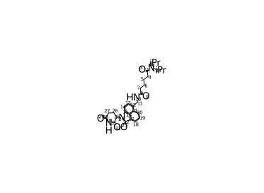 CC(C)N(C(=O)CCCCC(=O)NCc1ccc2c3c(cccc13)C(=O)N2C1CCC(=O)NC1=O)C(C)C